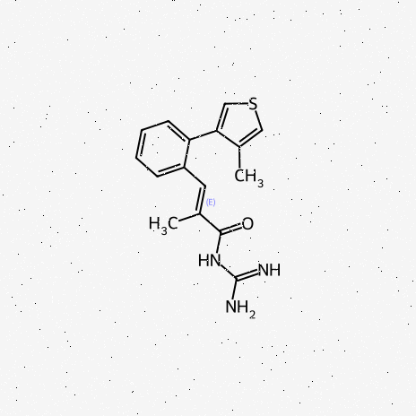 C/C(=C\c1ccccc1-c1cscc1C)C(=O)NC(=N)N